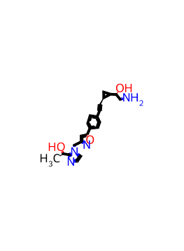 C[C@H](O)c1nccn1Cc1cc(-c2ccc(C#C[C@H]3CC3[C@H](O)CN)cc2)on1